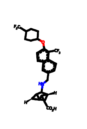 O=C(O)C1C2C3C(NCc4ccc5c(C(F)(F)F)c(OC6CCC(C(F)(F)F)CC6)ccc5c4)[C@@H]1C[C@H]32